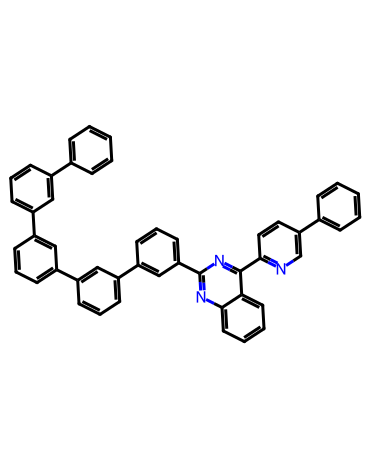 c1ccc(-c2ccc(-c3nc(-c4cccc(-c5cccc(-c6cccc(-c7cccc(-c8ccccc8)c7)c6)c5)c4)nc4ccccc34)nc2)cc1